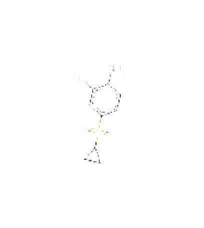 Nc1ccc(S(=O)(=O)C2CC2)cc1F